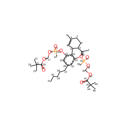 C=C(C)C1CCC(C)=CC1c1c(OP(C)(=O)OCOC(=O)C(C)(C)C)cc(CCCCC)cc1OP(C)(=O)OCOC(=O)C(C)(C)C